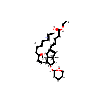 C/C=C/CC[C@@H](C)CC(=O)/C=C\[C@H]1[C@H]2CC(C=CCCC(=O)OCC)=C[C@H]2C[C@H]1OC1CCCCO1